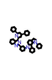 c1ccc(-c2cc(-c3ccccc3)nc(-c3nc(-c4cccc(-n5c6ccccc6c6c7c(ccc65)ccn7-c5ccccc5)c4)nc4ccccc34)c2)cc1